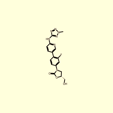 Cn1nnc(Nc2ccc(-c3ccc(N4C[C@H](CO)OC4=O)cc3F)cn2)n1